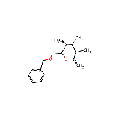 C=C1OC(COCc2ccccc2)[C@@H](C)[C@H](C)C1C